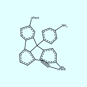 CCCCCC#Cc1cccc2c1C(c1ccc(N)cc1)(c1ccc(N)cc1)c1cc(CCCCC)ccc1-2